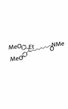 CCC(C(=CCCCCCCCCCC(=O)NC)c1ccc(OC)cc1)c1ccc(OC)cc1